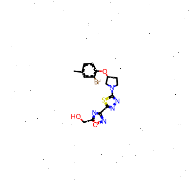 Cc1ccc(O[C@H]2CCN(c3nnc(-c4noc(CO)n4)s3)C2)c(Br)c1